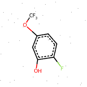 Oc1cc(OC(F)(F)F)ccc1F